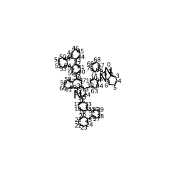 CN1c2ccccc2N(c2ccc(-c3cc(-c4ccc5c6ccccc6c6ccccc6c5c4)nc4c3cc(-c3ccc5c6ccccc6c6ccccc6c5c3)c3ccccc34)cc2)C1c1ccccc1